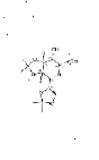 CCCCCCCC[P@]1O[C@H]([C@H]2COC(C)(C)O2)[C@@H]2OC(C)(C)O[C@@H]2[C@@H]1O